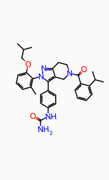 Cc1cccc(OCC(C)C)c1-n1nc2c(c1-c1ccc(NC(N)=O)cc1)CN(C(=O)c1ccccc1C(C)C)CC2